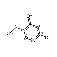 O=c1cc(Cl)ncn1CCl